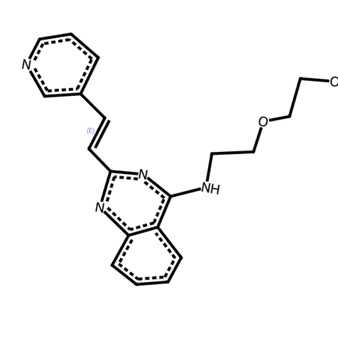 OCCOCCNc1nc(/C=C/c2cccnc2)nc2ccccc12